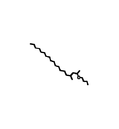 CCCCCCCCCCCCCCCC(C)CC(C)OCCCC